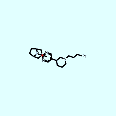 CC(C)CCCN1CCCC(c2cnc(N3C4CCC3CN(C)C4)nc2)C1